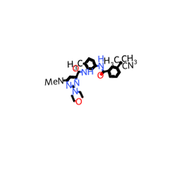 CNc1cc(C(=O)Nc2cc(NC(=O)c3cccc(C(C)(C)C#N)c3)ccc2C)nc(N2CCOCC2)n1